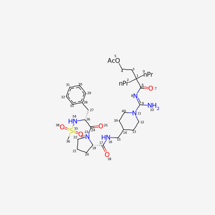 CCCC(CCC)(CCOC(C)=O)C(=O)N=C(N)N1CCC(CNC(=O)[C@@H]2CCCN2C(=O)[C@@H](Cc2ccccc2)NS(C)(=O)=O)CC1